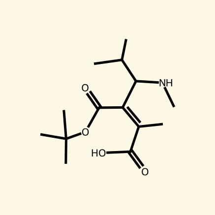 CNC(C(C(=O)OC(C)(C)C)=C(C)C(=O)O)C(C)C